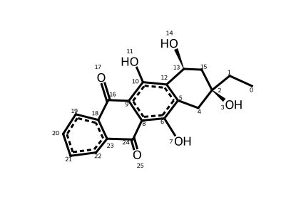 CC[C@]1(O)Cc2c(O)c3c(c(O)c2[C@@H](O)C1)C(=O)c1ccccc1C3=O